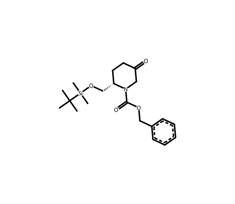 CC(C)(C)[Si](C)(C)OC[C@@H]1CCC(=O)CN1C(=O)OCc1ccccc1